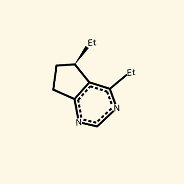 CCc1ncnc2c1[C@H](CC)CC2